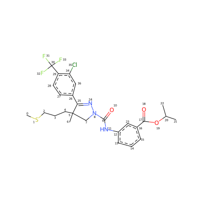 CSCCCC1(C)CN(C(=O)Nc2cccc(C(=O)OC(C)C)c2)N=C1c1ccc(C(F)(F)F)c(Cl)c1